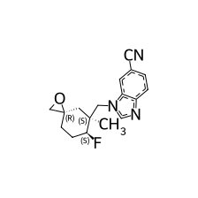 C[C@@]1(Cn2cnc3ccc(C#N)cc32)C[C@]2(CC[C@@H]1F)CO2